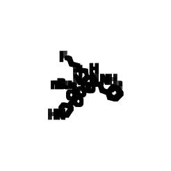 CCCCC(NC(=O)[C@@H](CCCCCF)NC(=O)[C@H](N)Cc1ccccc1)C(=O)OC(=O)C1CCNCC1